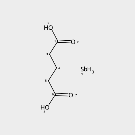 O=C(O)CCCC(=O)O.[SbH3]